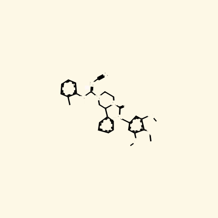 COc1cc(NC(=O)N2CCN(/C(=N\C#N)Nc3ccccc3C)CC2c2ccccc2)cc(OC)c1OC